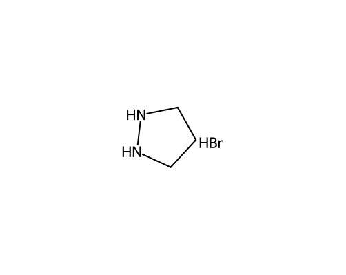 Br.C1CNNC1